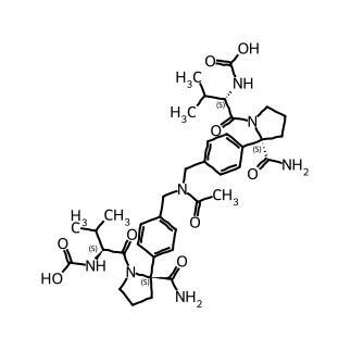 CC(=O)N(Cc1ccc([C@]2(C(N)=O)CCCN2C(=O)[C@@H](NC(=O)O)C(C)C)cc1)Cc1ccc([C@]2(C(N)=O)CCCN2C(=O)[C@@H](NC(=O)O)C(C)C)cc1